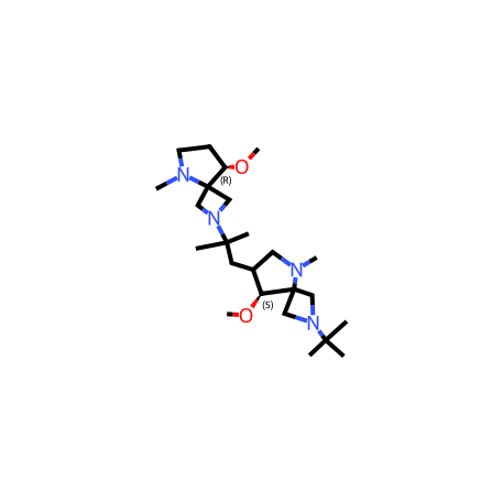 CO[C@@H]1CCN(C)C12CN(C(C)(C)CC1CN(C)C3(CN(C(C)(C)C)C3)[C@H]1OC)C2